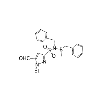 CCn1nc(S(=O)(=O)N(Cc2ccccc2)B(C)Cc2ccccc2)cc1C=O